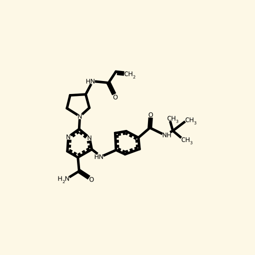 C=CC(=O)NC1CCN(c2ncc(C(N)=O)c(Nc3ccc(C(=O)NC(C)(C)C)cc3)n2)C1